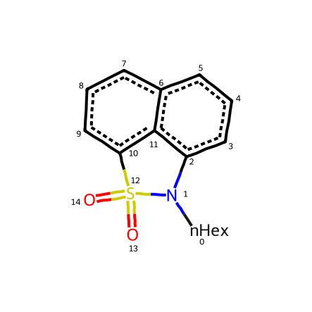 CCCCCCN1c2cccc3cccc(c23)S1(=O)=O